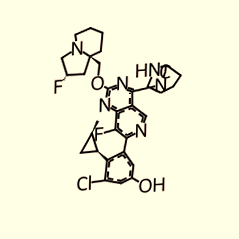 C[C@@H]1C[C@@H]1c1c(Cl)cc(O)cc1-c1ncc2c(N3CC4CCC3CN4)nc(OC[C@]34CCCCN3C[C@@H](F)C4)nc2c1F